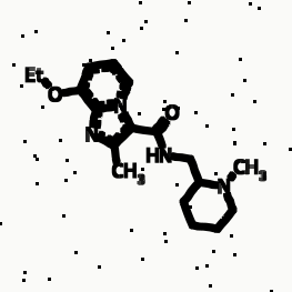 CCOc1cccn2c(C(=O)NCC3CCCCN3C)c(C)nc12